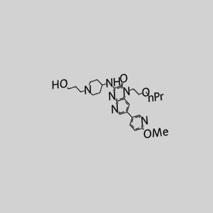 CCCOCCn1c(=O)c(NC2CCN(CCCO)CC2)nc2ncc(-c3ccc(OC)nc3)cc21